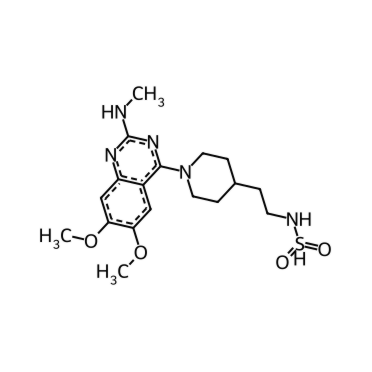 CNc1nc(N2CCC(CCN[SH](=O)=O)CC2)c2cc(OC)c(OC)cc2n1